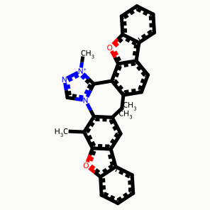 Cc1cc2c(oc3ccccc32)c(C)c1-n1cn[n+](C)c1-c1c(C)ccc2c1oc1ccccc12